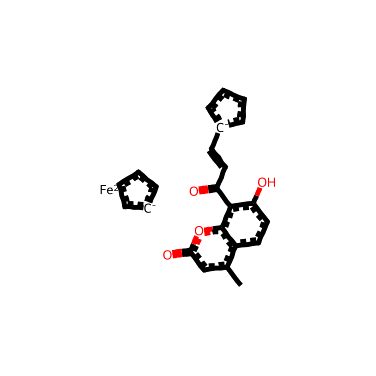 Cc1cc(=O)oc2c(C(=O)C=C[c-]3cccc3)c(O)ccc12.[Fe+2].c1cc[cH-]c1